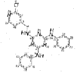 Clc1cc(CNc2nc(Nc3ccccc3)nc(Nc3ccccc3)n2)ccn1